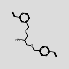 C=Cc1ccc(CSCC(CCC)CSCc2cccc(C=C)c2)cc1